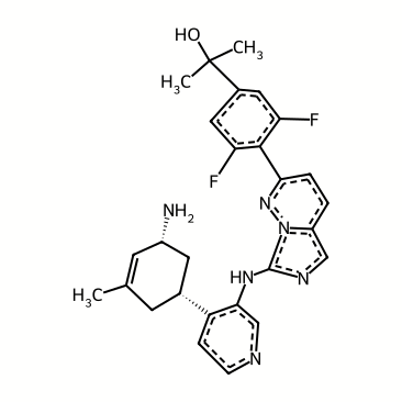 CC1=C[C@H](N)C[C@H](c2ccncc2Nc2ncc3ccc(-c4c(F)cc(C(C)(C)O)cc4F)nn23)C1